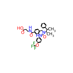 CC(c1ccccc1)C(C)N(Cc1ccc(C(=O)NCCC(=O)O)cc1)C(=O)Nc1ccc(OC(F)(F)F)cc1